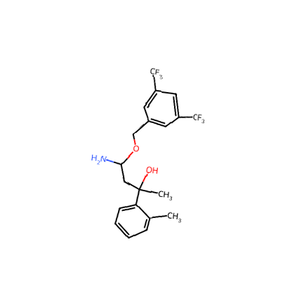 Cc1ccccc1C(C)(O)CC(N)OCc1cc(C(F)(F)F)cc(C(F)(F)F)c1